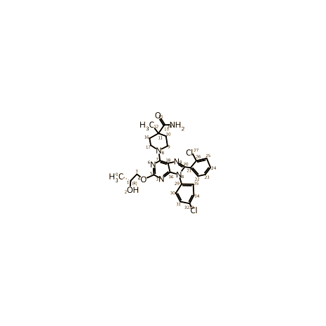 C[C@@H](O)COc1nc(N2CCC(C)(C(N)=O)CC2)c2nc(-c3ccccc3Cl)n(-c3ccc(Cl)cc3)c2n1